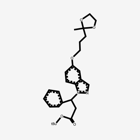 CC(C)(C)OC(=O)CC(c1ccccc1)n1ncc2cc(OCCCC3(C)OCCO3)ccc21